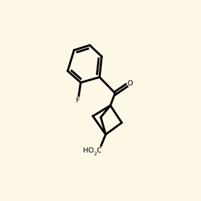 O=C(O)C12CC(C(=O)c3ccccc3F)(C1)C2